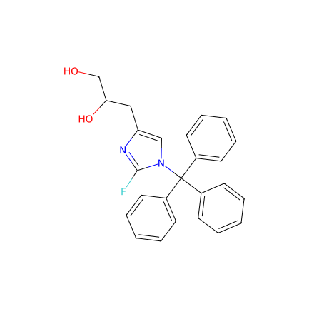 OCC(O)Cc1cn(C(c2ccccc2)(c2ccccc2)c2ccccc2)c(F)n1